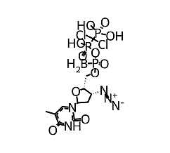 BP(=O)(OC[C@H]1O[C@@H](n2cc(C)c(=O)[nH]c2=O)C[C@H]1N=[N+]=[N-])OP(=O)(O)C(Cl)(Cl)P(=O)(O)O